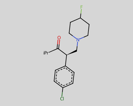 CC(C)C(=O)[C@@H](CN1CCC(F)CC1)c1ccc(Cl)cc1